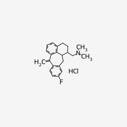 C=C1c2ccc(F)cc2CC2c3c(cccc31)CCC2CN(C)C.Cl